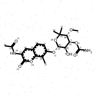 CO[C@@H]1[C@@H](OC(N)=O)[C@@H](O)[C@H](Oc2ccc3cc(NC(C)=O)c(=O)oc3c2C)OC1(C)C